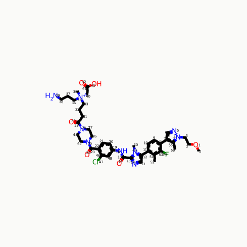 COCCn1ncc(-c2ccc(-c3cnc(C(=O)Nc4ccc(C(=O)N5CCN(C(=O)CCC[N+](C)(CCCN)CC(=O)O)CC5)c(Cl)c4)n3C)c(C)c2F)c1C